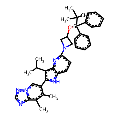 Cc1c(-c2[nH]c3ccc(N4CC(O[Si](c5ccccc5)(c5ccccc5)C(C)(C)C)C4)nc3c2C(C)C)cn2ncnc2c1C